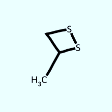 CC1CSS1